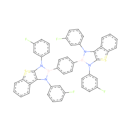 Fc1cccc(N2B(c3ccc(B4N(c5cccc(F)c5)c5sc6ccccc6c5N4c4cccc(F)c4)cc3)N(c3cccc(F)c3)c3c2sc2ccccc32)c1